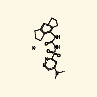 CN(C)c1cnnc(S(=O)(=O)NC(=O)Nc2c3c(cc4c2CCC4)CCC3)c1.[K]